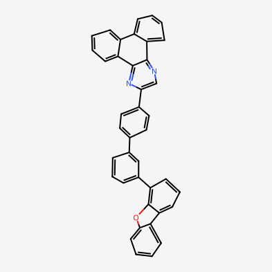 c1cc(-c2ccc(-c3cnc4c5ccccc5c5ccccc5c4n3)cc2)cc(-c2cccc3c2oc2ccccc23)c1